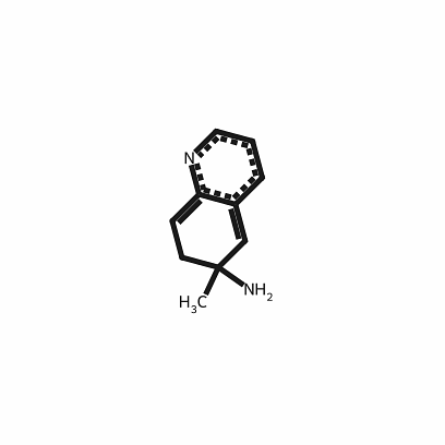 CC1(N)C=c2cccnc2=CC1